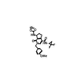 COc1ccc(Cn2cc(C(=O)N[C@@H]3CC3(F)F)c3c(c2=O)[C@@H](NC(=O)OC(C)(C)C)CS3)cc1